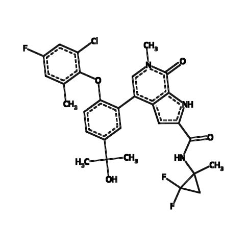 Cc1cc(F)cc(Cl)c1Oc1ccc(C(C)(C)O)cc1-c1cn(C)c(=O)c2[nH]c(C(=O)NC3(C)CC3(F)F)cc12